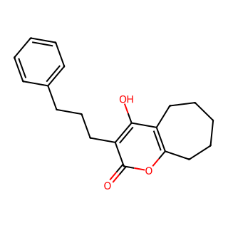 O=c1oc2c(c(O)c1CCCc1ccccc1)CCCCC2